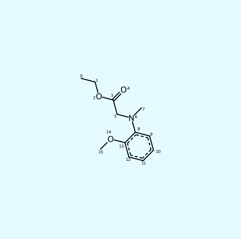 CCOC(=O)CN(C)c1ccccc1OC